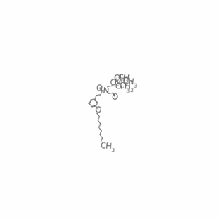 CCCCCCCCCCOc1cccc(CCC(=O)N(CC=O)CCO[Si](C)(C)C(C)(C)C)c1